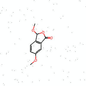 COc1ccc2c(c1)C(=O)OC2OC